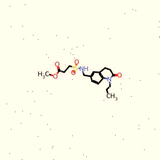 CCCN1C(=O)CCc2cc(CNS(=O)(=O)CCC(=O)OC)ccc21